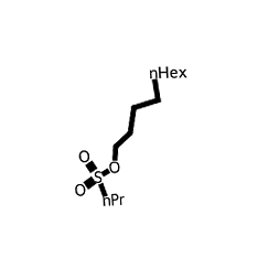 CCCCCCCCCCOS(=O)(=O)CCC